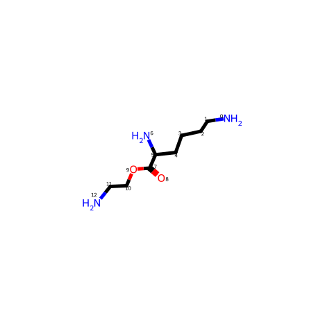 NCCCCC(N)C(=O)OCCN